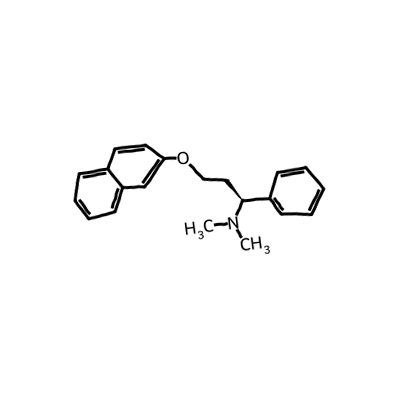 CN(C)[C@@H](CCOc1ccc2ccccc2c1)c1ccccc1